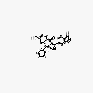 O=C(c1c(-c2ccc3[nH]ncc3c2)nnn1Cc1ccccc1)N1CCC(O)CC1